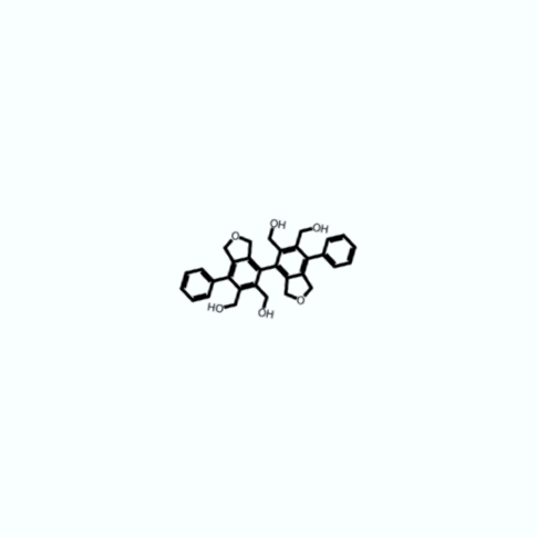 OCc1c(CO)c(-c2c(CO)c(CO)c(-c3ccccc3)c3c2COC3)c2c(c1-c1ccccc1)COC2